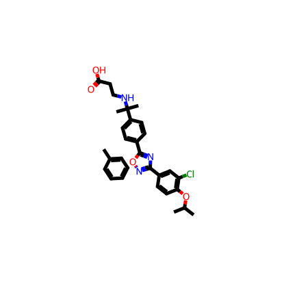 CC(C)Oc1ccc(-c2noc(-c3ccc(C(C)(C)NCCC(=O)O)cc3)n2)cc1Cl.Cc1ccccc1